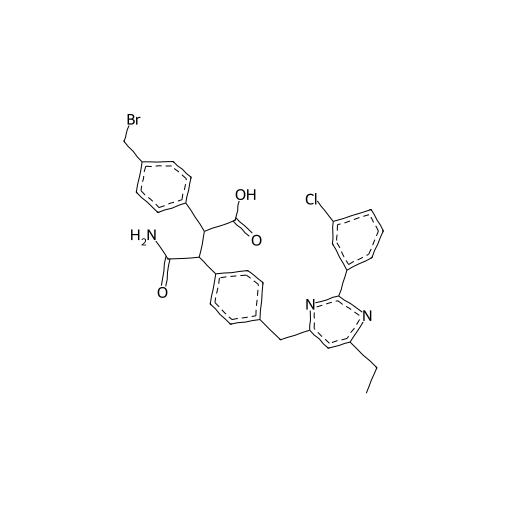 CCc1cc(Cc2ccc(C(C(N)=O)C(C(=O)O)c3ccc(CBr)cc3)cc2)nc(-c2cccc(Cl)c2)n1